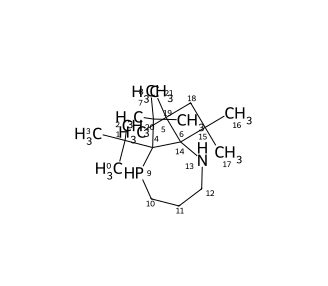 CC(C)(C)C1(C(C)(C)C)PCCCNC12C(C)(C)CC2(C)C